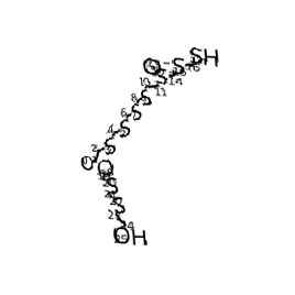 O=C(CSCSCSCSCC[S+]([O-])CSCS)OCSCSCCO